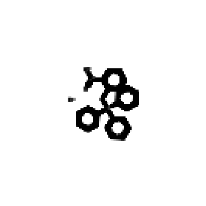 O=[N+]([O-])c1ccccc1C[P+](c1ccccc1)(c1ccccc1)c1ccccc1.[Br-]